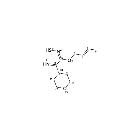 C/C=C/CO/C(=N/S)C(=N)N1CCOCC1